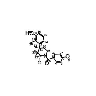 COc1ccc(C(=O)N2CC[C@@](C)(c3cccc(O)c3C)C(C)(C)[C@H]2C)cc1